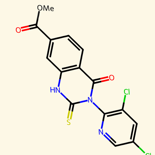 COC(=O)c1ccc2c(=O)n(-c3ncc(Cl)cc3Cl)c(=S)[nH]c2c1